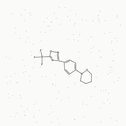 FC(F)(F)c1nc(-c2ccc(N3CCCCO3)cc2)no1